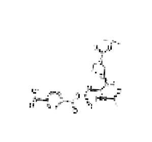 CC(=O)NC(=NC(=O)OC(=O)c1ccc([N+](=O)[O-])cc1)N[C@H]1CCN(C(=O)OC(C)(C)C)C1